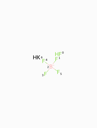 F.F[B-](F)(F)F.[KH]